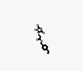 C=Cc1ccc(COC(=O)CC[C@@H]2NC(=O)OC2=O)cc1